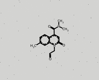 Cc1ccc2c(C(=O)N(C)C)cc(=O)n(CC=O)c2c1